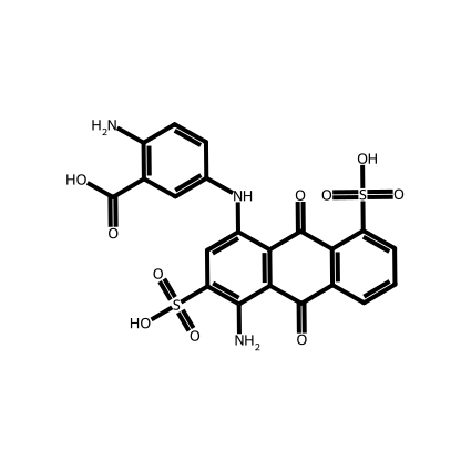 Nc1ccc(Nc2cc(S(=O)(=O)O)c(N)c3c2C(=O)c2c(cccc2S(=O)(=O)O)C3=O)cc1C(=O)O